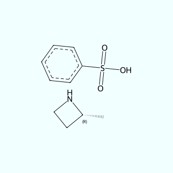 C[C@@H]1CCN1.O=S(=O)(O)c1ccccc1